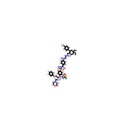 CCC1(CC)CCC(CNCCNc2ccc(C(=O)NS(=O)(=O)c3ccc(N[C@H](CCN4CCOCC4)CSc4ccccc4)c(S(=O)(=O)C(F)(F)F)c3)cc2)=C(c2ccc(Cl)cc2)C1